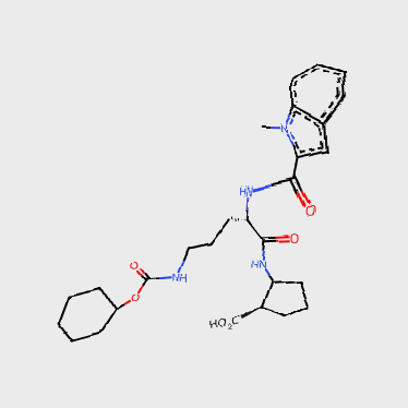 Cn1c(C(=O)N[C@@H](CCCNC(=O)OC2CCCCC2)C(=O)NC2CCC[C@H]2C(=O)O)cc2ccccc21